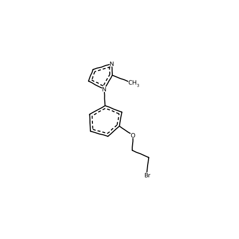 Cc1nccn1-c1cccc(OCCBr)c1